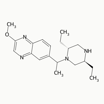 CC[C@H]1CN(C(C)c2ccc3nc(OC)cnc3c2)[C@H](CC)CN1